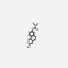 COC(=O)CC1CCc2cc(SC(=O)N(C)C)ccc2C1=O